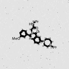 COc1cccc(-c2nc3ccc(N4CCCN(C(C)C)CC4)cc3c(=O)n2CC(=O)NC(C)C)c1